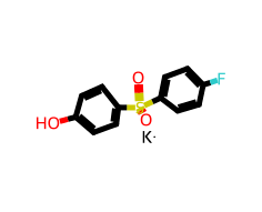 O=S(=O)(c1ccc(O)cc1)c1ccc(F)cc1.[K]